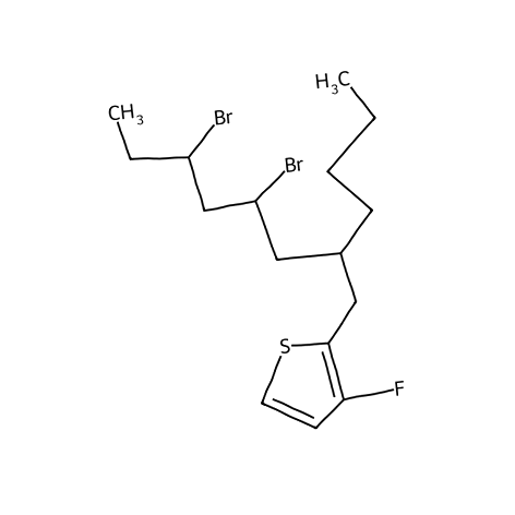 CCCCC(Cc1sccc1F)CC(Br)CC(Br)CC